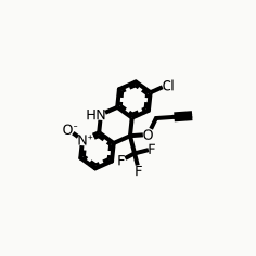 C#CCOC1(C(F)(F)F)c2cc(Cl)ccc2Nc2c1ccc[n+]2[O-]